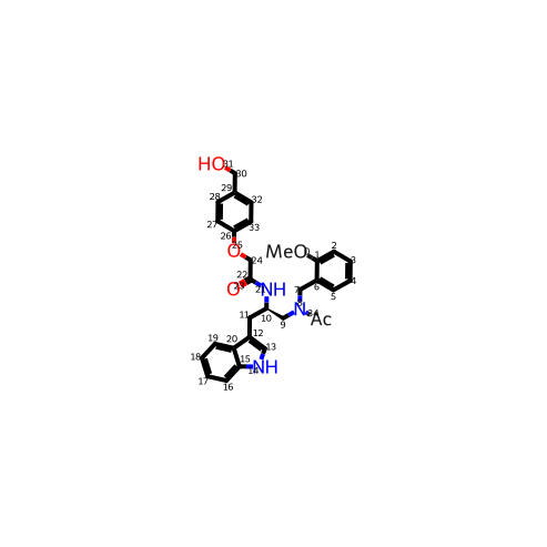 COc1ccccc1CN(C[C@@H](Cc1c[nH]c2ccccc12)NC(=O)COc1ccc(CO)cc1)C(C)=O